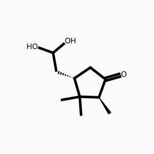 C[C@@H]1C(=O)C[C@@H](CC(O)O)C1(C)C